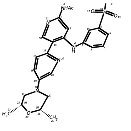 CC(=O)Nc1cc(Nc2cccc(S(C)(=O)=O)c2)c(-c2ccc(N3C[C@@H](C)O[C@@H](C)C3)cn2)cn1